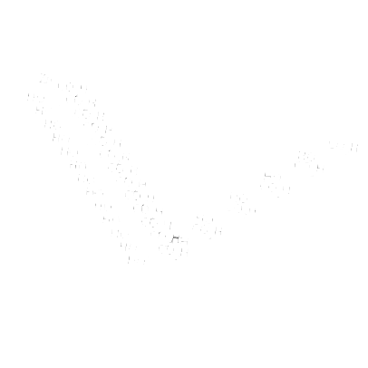 O=C(O)O.O=C(O)O.O=C(O)O.O=C(O)O.O=C(O)O.O=C(O)O.O=C(O)O.O=C(O)O.O=C(O)O.O=C(O)O.O=C(O)O.O=C(O)O.O=C(O)O.O=C(O)O.O=C(O)O.O=C(O)O.O=C(O)O.O=C(O)O.[Zn]